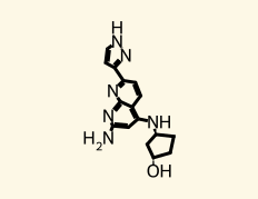 Nc1cc(N[C@H]2CC[C@H](O)C2)c2ccc(-c3cc[nH]n3)nc2n1